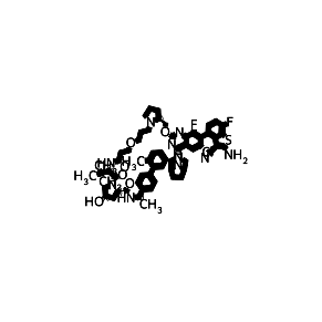 Cc1ccccc1-c1ccc([C@H](C)NC(=O)[C@@H]2C[C@@H](O)CN2C(=O)[C@@H](NC(=O)CCOCCCN2CCC[C@H]2COc2nc(N3CC4CCC(C3)N4)c3cc(Cl)c(-c4ccc(F)c5sc(N)c(C#N)c45)c(F)c3n2)C(C)(C)C)cc1